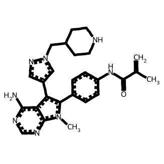 C=C(C)C(=O)Nc1ccc(-c2c(-c3cnn(CC4CCNCC4)c3)c3c(N)ncnc3n2C)cc1